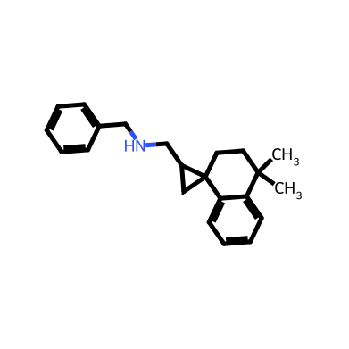 CC1(C)CCC2(CC2CNCc2ccccc2)c2ccccc21